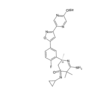 COc1cnc(-c2cc(-c3ccc(F)c([C@]4(C)CS(=O)(=NC5CC5)C(C)(C)C(N)=N4)c3)on2)cn1